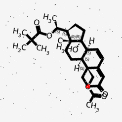 CC(=O)OC[C@]12CCC(=O)C=C1C=C[C@H]1[C@@H]2CC[C@]2(C)[C@@H]([C@H](C)OC(=O)C(C)(C)C)CC[C@@]12O